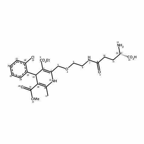 CCOC(=O)C1=C(COCCNC(=O)CC[C@H](N)C(=O)O)NC(C)=C(C(=O)OC)C1c1ccccc1Cl